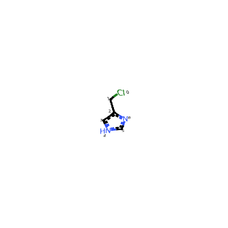 Cl[CH]c1c[nH]cn1